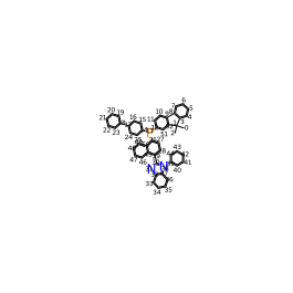 CC1(C)c2ccccc2-c2ccc(P(c3ccc(-c4ccccc4)cc3)c3ccc(-c4nc5ccccc5n4-c4ccccc4)c4ccccc34)cc21